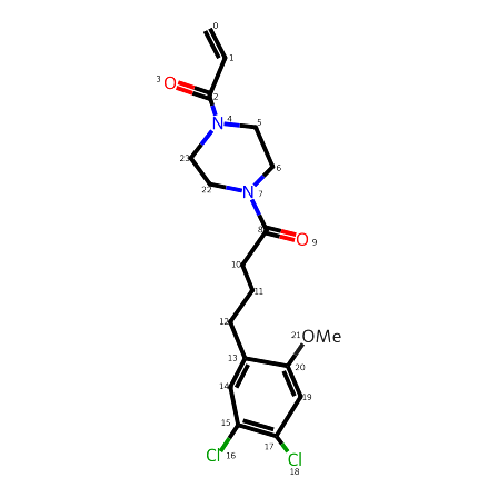 C=CC(=O)N1CCN(C(=O)CCCc2cc(Cl)c(Cl)cc2OC)CC1